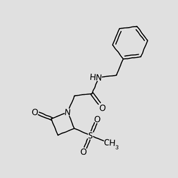 CS(=O)(=O)C1CC(=O)N1CC(=O)NCc1ccccc1